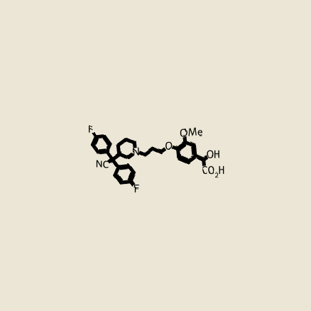 COc1cc(C(O)C(=O)O)ccc1OCCCN1CCCC(C(C#N)(c2ccc(F)cc2)c2ccc(F)cc2)C1